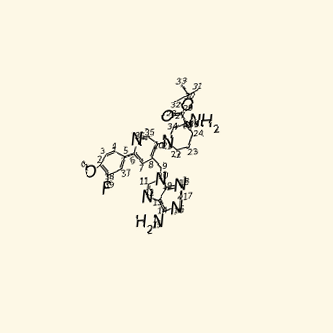 COc1ccc(-c2cc(Cn3cnc4c(N)ncnc43)c(N3CCC[C@](N)(C(=O)OC(C)(C)C)C3)cn2)cc1F